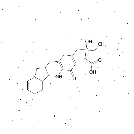 CCC(O)(CC(=O)O)CC1=CC(=O)C2=C(C1)CC1CN3C=CCCC3C1N2